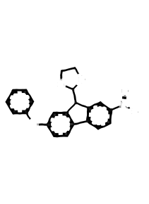 O=[N+]([O-])c1ccc2c(c1)C(C1OCCO1)c1cc(Oc3ccccc3)ccc1-2